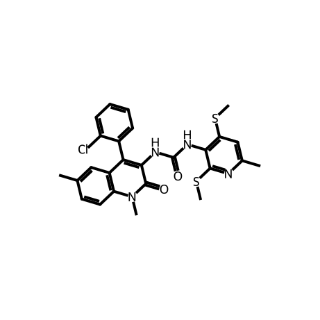 CSc1cc(C)nc(SC)c1NC(=O)Nc1c(-c2ccccc2Cl)c2cc(C)ccc2n(C)c1=O